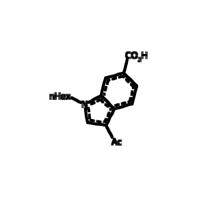 CCCCCCn1cc(C(C)=O)c2ccc(C(=O)O)cc21